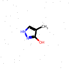 Cc1c[nH]nc1O